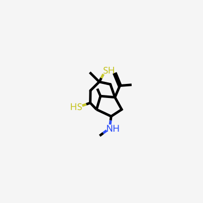 C=C(C)C12CC(NC)C(C(S)CC(C)(S)C1)C2C